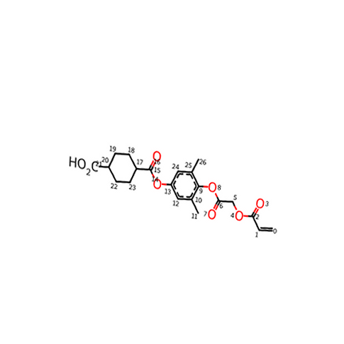 C=CC(=O)OCC(=O)Oc1c(C)cc(OC(=O)C2CCC(C(=O)O)CC2)cc1C